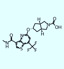 CNC(=O)c1csc2c(C(F)(F)F)cc(O[C@@H]3C[C@@H]4CN(C(=O)O)C[C@@H]4C3)nc12